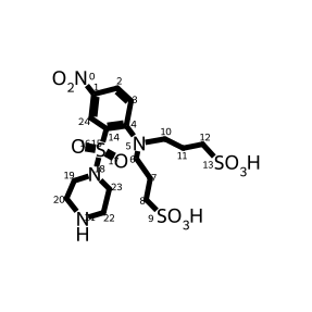 O=[N+]([O-])c1ccc(N(CCCS(=O)(=O)O)CCCS(=O)(=O)O)c(S(=O)(=O)N2CCNCC2)c1